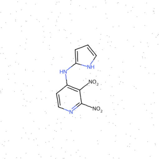 O=[N+]([O-])c1nccc(Nc2ccc[nH]2)c1[N+](=O)[O-]